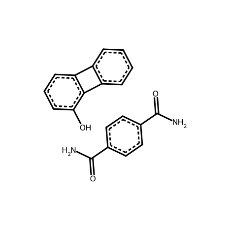 NC(=O)c1ccc(C(N)=O)cc1.Oc1cccc2c1-c1ccccc1-2